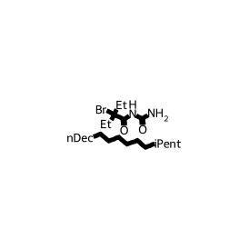 CCC(Br)(CC)C(=O)NC(N)=O.CCCCCCCCCCCCCCCCC(C)CCC